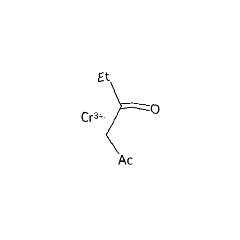 CCC(=O)CC(C)=O.[Cr+3]